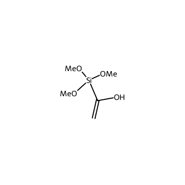 C=C(O)[Si](OC)(OC)OC